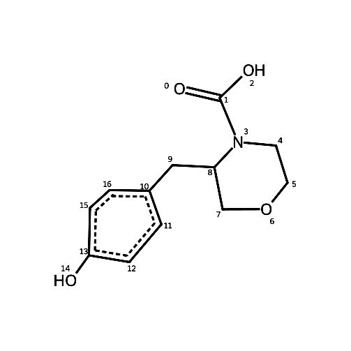 O=C(O)N1CCOCC1Cc1ccc(O)cc1